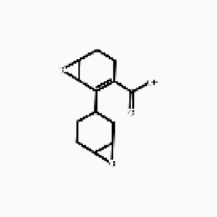 O=C(O)C1=C(C2CCC3OC3C2)C2OC2CC1